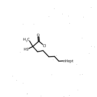 CCCCCCCCCCCCC(C)(S)C(=O)Cl